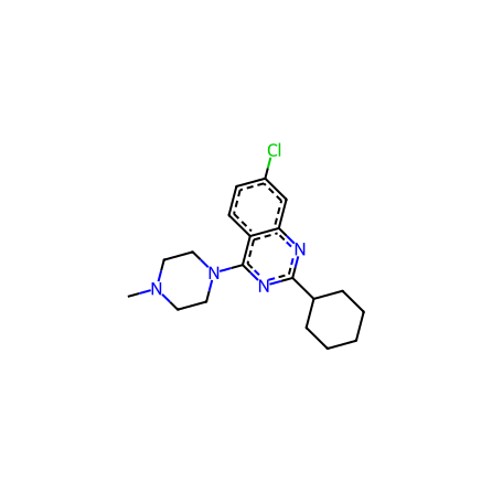 CN1CCN(c2nc(C3CCCCC3)nc3cc(Cl)ccc23)CC1